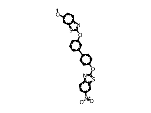 COc1ccc2nc(Oc3cc[c]c(-c4ccc(Oc5nc6ccc([N+](=O)[O-])cc6s5)cc4)c3)sc2c1